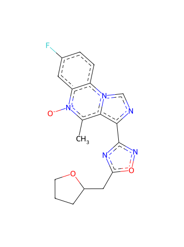 Cc1c2c(-c3noc(CC4CCCO4)n3)ncn2c2ccc(F)cc2[n+]1[O-]